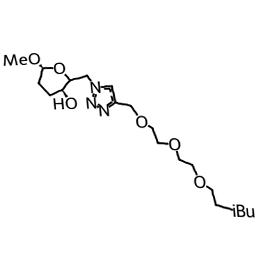 CCC(C)CCOCCOCCOCc1cn(CC2O[C@H](OC)CC[C@@H]2O)nn1